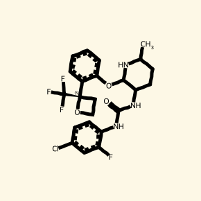 CC1CCC(NC(=O)Nc2ccc(Cl)cc2F)C(Oc2ccccc2[C@]2(C(F)(F)F)CCO2)N1